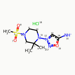 CC1(C)CN(S(C)(=O)=O)CCN1[n+]1cc([NH-])on1.Cl